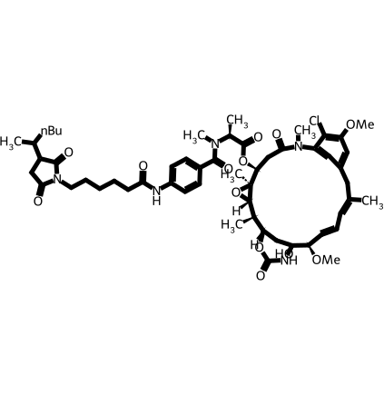 CCCCC(C)C1CC(=O)N(CCCCCC(=O)Nc2ccc(C(=O)N(C)[C@@H](C)C(=O)O[C@H]3CC(=O)N(C)c4cc(cc(OC)c4Cl)C/C(C)=C/C=C/[C@@H](OC)[C@@]4(O)C[C@H](OC(=O)N4)[C@@H](C)[C@@H]4O[C@@]34C)cc2)C1=O